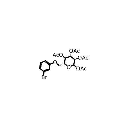 CC(=O)OC1O[C@H](COc2cccc(Br)c2)[C@@H](OC(C)=O)[C@H](OC(C)=O)[C@H]1OC(C)=O